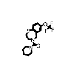 O=C(N1CCCCC1)N1CCSc2ccc(OC(F)(F)F)cc2C1